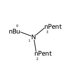 [CH2]CCCN(CCCCC)CCCCC